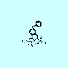 CC(C)(C)OC(=O)N1CCN(Cc2ccccc2)CC1CCS(C)(=O)=O